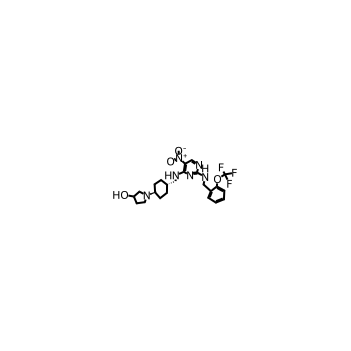 O=[N+]([O-])c1cnc(NCc2ccccc2OC(F)(F)F)nc1NC[C@H]1CC[C@H](N2CCC(O)C2)CC1